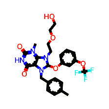 Cc1ccc(CN2c3c(n(C)c(=O)[nH]c3=O)N(CCOCCO)C2Oc2cccc(OC(F)(F)F)c2)cc1